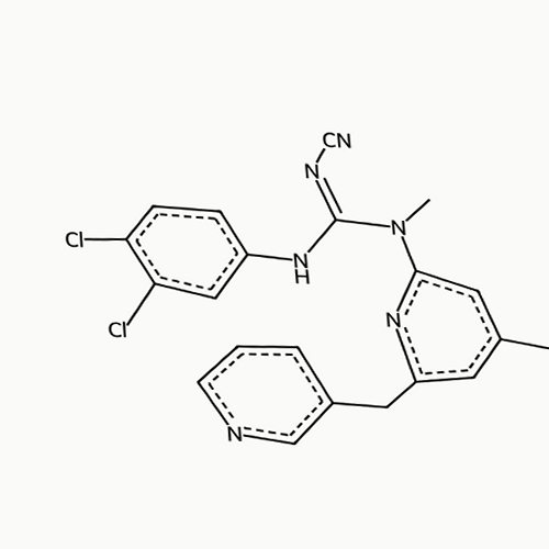 Cc1cc(Cc2cccnc2)nc(N(C)/C(=N\C#N)Nc2ccc(Cl)c(Cl)c2)c1